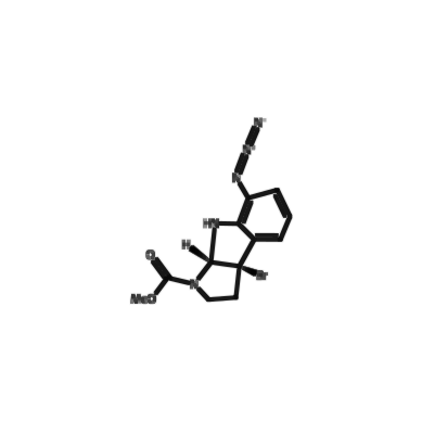 COC(=O)N1CC[C@@]2(Br)c3cccc(N=[N+]=[N-])c3N[C@@H]12